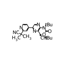 C#Cc1nc(-c2ccnc(C(C)(C)C#N)c2)cnc1N(C(=O)OC(C)(C)C)C(C)(C)C